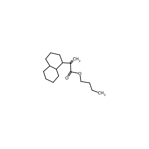 C=C(C(=O)OCCCC)C1CCCC2CCCCC21